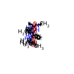 C=CCNC(=O)C(=O)C(CC1CC1)NC(=O)[C@@H]1[C@@H]2[C@H](CN1C(=O)[C@@H](NC(=O)N[C@H](CN(C)S(=O)(=O)CC)C(C)(C)C)C1Cc3ccccc3C1)C2(C)C